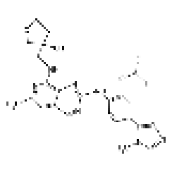 Cc1cc2cnc(Nc3ccc(-c4nncn4C)cc3OC(F)F)nc2c(NCC2(C)CCOC2)n1